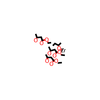 CCC(C)[O][Zr].CCOC(=O)CC(C)=O.CCOC(=O)CC(C)=O.CCOC(=O)CC(C)=O